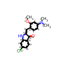 COc1cc(N(C)C)ccc1C=C1Nc2cc(Cl)ccc2C1=O